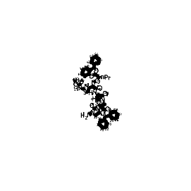 CCC[C@H](O/N=C(\C(=O)N[C@@H]1C(=O)N2C[C@@](C(=O)OC(c3ccccc3)c3ccccc3)(N3CCN(N)C3=O)S[C@H]12)c1csc(NC(=O)OC(C)(C)C)n1)C(=O)OC(c1ccccc1)c1ccccc1